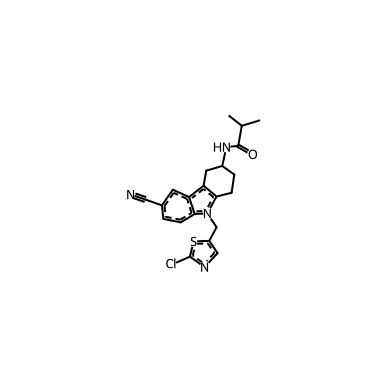 CC(C)C(=O)NC1CCc2c(c3cc(C#N)ccc3n2Cc2cnc(Cl)s2)C1